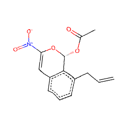 C=CCc1cccc2c1[C@@H](OC(C)=O)OC([N+](=O)[O-])=C2